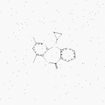 CC(=O)N1C(=O)c2cccnc2N(C2CC2)c2nc(Cl)cc(C)c21